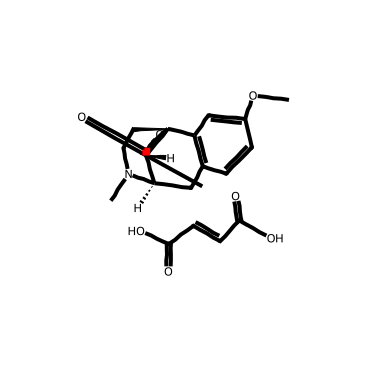 COc1ccc2c(c1)[C@]13CCN(C)[C@H](C2)[C@@H]1OC(=O)OC3.O=C(O)/C=C/C(=O)O